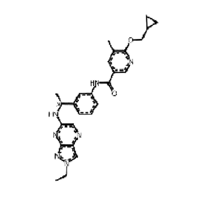 CCn1cc2ncc(N[C@@H](C)c3cccc(NC(=O)c4cnc(OCC5CC5)c(C)c4)c3)nc2n1